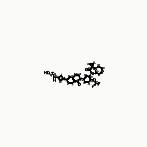 O=C(O)NC1CN(c2ccc3c(=O)n(-c4ccc(OC(F)F)c(NC(=O)C5(N6CCOCC6)CC5)c4)cnc3c2)C1